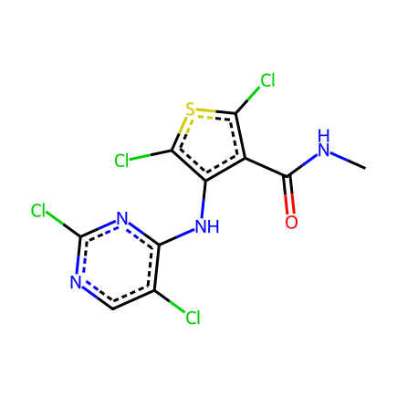 CNC(=O)c1c(Cl)sc(Cl)c1Nc1nc(Cl)ncc1Cl